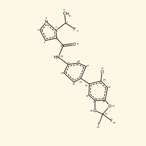 CC(F)n1nccc1C(=O)Nc1ccc(-c2cc3c(cc2Cl)OC(F)(F)O3)cc1